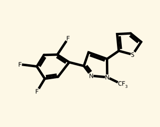 Fc1cc(F)c(-c2cc(-c3cccs3)n(C(F)(F)F)n2)cc1F